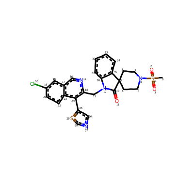 CS(=O)(=O)N1CCC2(CC1)C(=O)N(Cc1ncc3cc(Cl)ccc3c1-c1cncs1)c1ccccc12